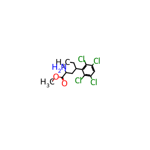 CCC(CC(N)C(=O)OC)c1c(Cl)c(Cl)cc(Cl)c1Cl